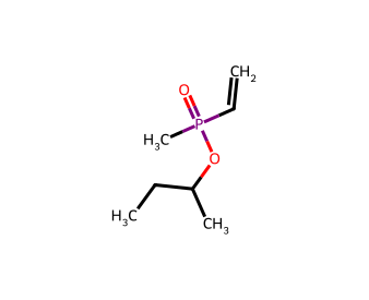 C=CP(C)(=O)OC(C)CC